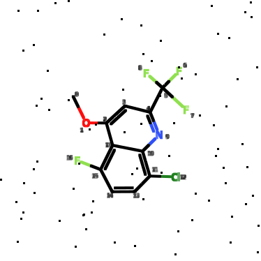 COc1cc(C(F)(F)F)nc2c(Cl)ccc(F)c12